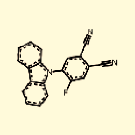 N#Cc1cc(F)c(-n2c3ccccc3c3ccccc32)cc1C#N